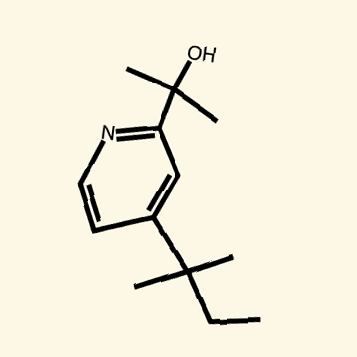 CCC(C)(C)c1ccnc(C(C)(C)O)c1